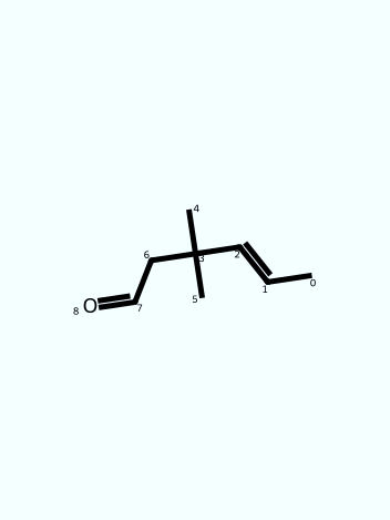 CC=CC(C)(C)CC=O